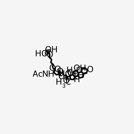 CC(=O)NC(CC(=O)OCC(=O)[C@@]1(O)[C@H](C)C[C@H]2[C@@H]3CCC4=CC(=O)C=C[C@]4(C)C3(F)[C@@H](O)C[C@@]21C)C(=O)OCCCCON(O)O